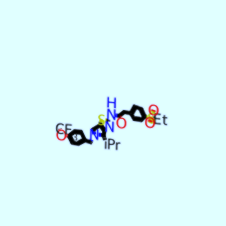 CCS(=O)(=O)c1ccc(CC(=O)Nc2nc3c(s2)CN(Cc2ccc(OC(F)(F)F)cc2)C3C(C)C)cc1